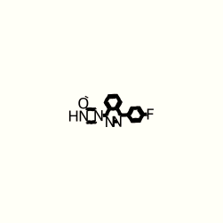 CO[C@@H]1CN(c2nnc(-c3ccc(F)cc3)c3ccccc23)CCN1